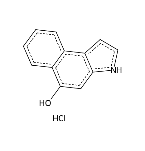 Cl.Oc1cc2[nH]ccc2c2ccccc12